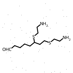 NCCSCCC(CCCCC=O)SCCN